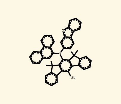 CC(C)(C)c1c2c(c(N(c3ccc4c(c3)oc3ccccc34)c3cc4ccccc4c4ccccc34)c3c1-c1ccccc1C3(C)C)C(C)(C)c1ccccc1-2